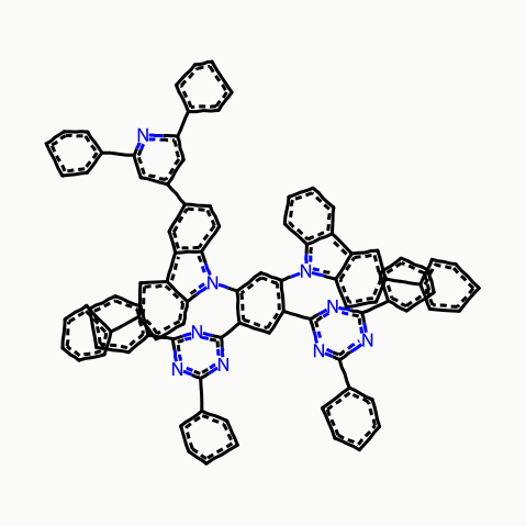 c1ccc(-c2ccc3c(c2)c2ccccc2n3-c2cc(-n3c4ccc(-c5ccccc5)cc4c4cc(-c5cc(-c6ccccc6)nc(-c6ccccc6)c5)ccc43)c(-c3nc(-c4ccccc4)nc(-c4ccccc4)n3)cc2-c2nc(-c3ccccc3)nc(-c3ccccc3)n2)cc1